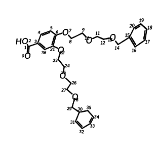 O=C(O)c1ccc(OCCOCCOCc2ccccc2)c(OCCOCCOCC2C=CC=CC2)c1